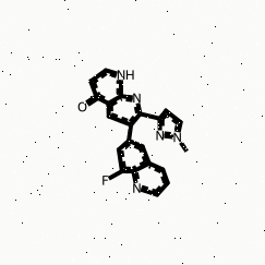 Cn1ccc(-c2nc3[nH]ccc(=O)c3cc2-c2cc(F)c3ncccc3c2)n1